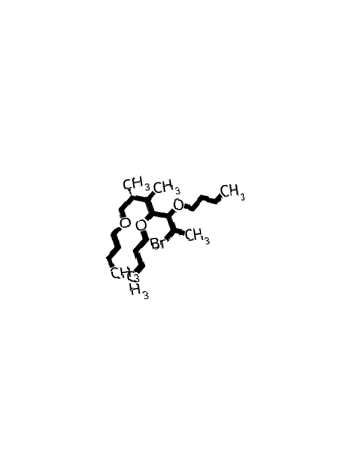 CCCCOC[C@H](C)C(C)C(OCCCC)C(OCCCC)C(C)Br